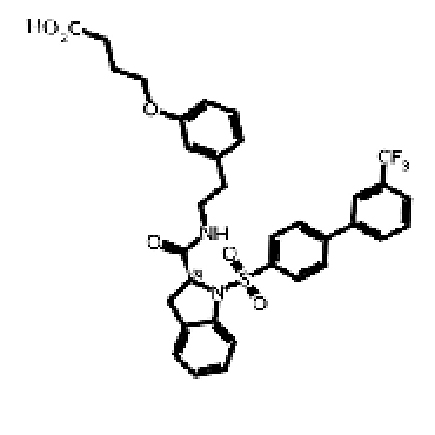 O=C(O)CCCOc1cccc(CCNC(=O)[C@@H]2Cc3ccccc3N2S(=O)(=O)c2ccc(-c3cccc(C(F)(F)F)c3)cc2)c1